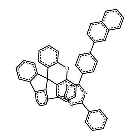 c1ccc(-c2nc(-c3ccc(-c4ccc5ccccc5c4)cc3)nc(-c3cccc4c3C3(c5ccccc5Oc5ccccc53)c3ccccc3-4)n2)cc1